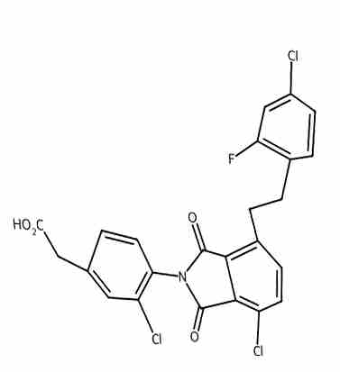 O=C(O)Cc1ccc(N2C(=O)c3c(Cl)ccc(CCc4ccc(Cl)cc4F)c3C2=O)c(Cl)c1